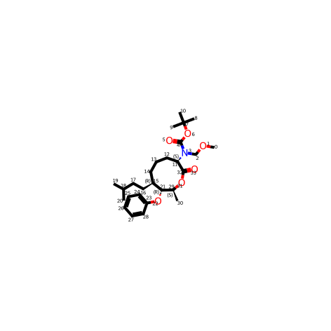 COCN(C(=O)OC(C)(C)C)[C@H]1CCC[C@H](CCC(C)C)[C@@H](Oc2ccccc2)[C@H](C)OC1=O